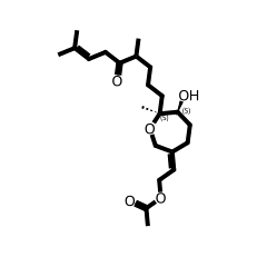 CC(=O)OCC=C1CC[C@H](O)[C@](C)(CCCC(C)C(=O)CC=C(C)C)OC1